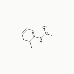 CC1CC=CC=C1N[S+](C)[O-]